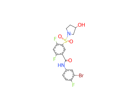 O=C(Nc1ccc(F)c(Br)c1)c1cc(S(=O)(=O)N2CCC(O)C2)c(F)cc1F